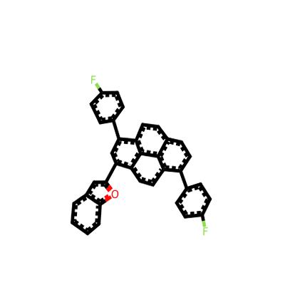 Fc1ccc(-c2ccc3ccc4c(-c5ccc(F)cc5)cc(-c5cc6ccccc6o5)c5ccc2c3c45)cc1